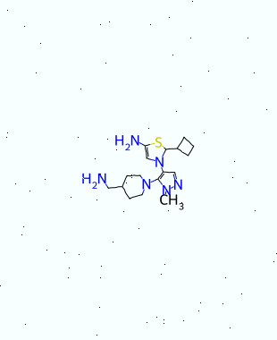 Cn1ncc(N2C=C(N)SC2C2CCC2)c1N1CCC(CN)CC1